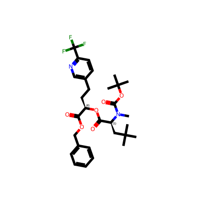 CN(C(=O)OC(C)(C)C)[C@@H](CC(C)(C)C)C(=O)O[C@H](CCc1ccc(C(F)(F)F)nc1)C(=O)OCc1ccccc1